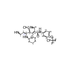 N=C/C=C(\NC1CCCCO1)c1cc(C(=O)Nc2ccc(OC(F)(F)Cl)cc2)cnc1Cl